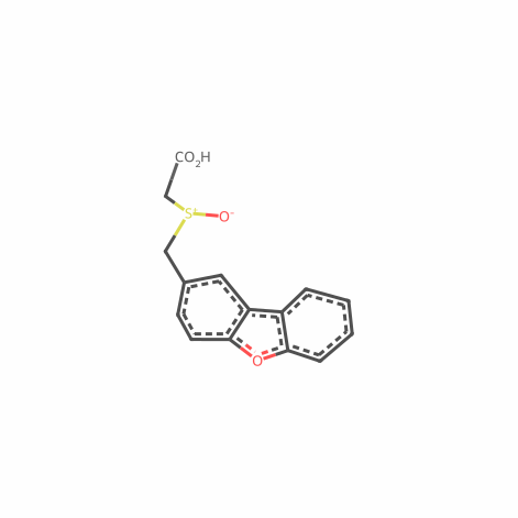 O=C(O)C[S+]([O-])Cc1ccc2oc3ccccc3c2c1